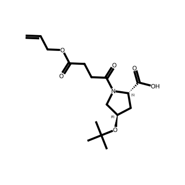 C=CCOC(=O)CCC(=O)N1C[C@H](OC(C)(C)C)C[C@H]1C(=O)O